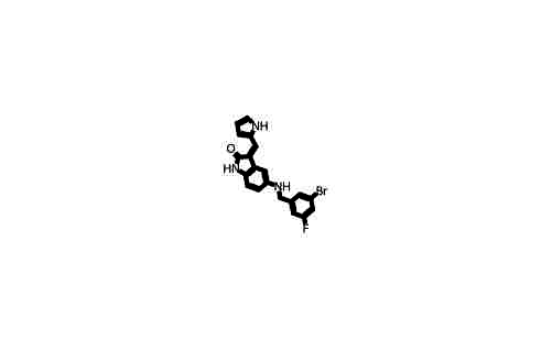 O=C1Nc2ccc(NCc3cc(F)cc(Br)c3)cc2C1=Cc1ccc[nH]1